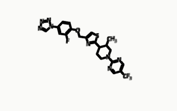 CC1CN(c2ncc(C(F)(F)F)cn2)CCC1c1nc(COc2ccc(-n3cnnn3)cc2F)cs1